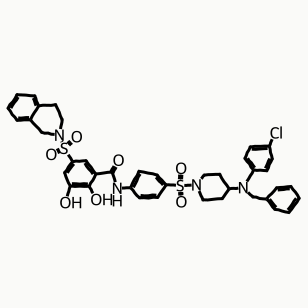 O=C(Nc1ccc(S(=O)(=O)N2CCC(N(Cc3ccccc3)c3ccc(Cl)cc3)CC2)cc1)c1cc(S(=O)(=O)N2CCc3ccccc3C2)cc(O)c1O